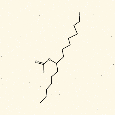 CCCCCCCCC(CCCCCC)OC(=O)Cl